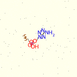 CSSCCOP(=O)(O)COCCn1cnc2c(N)ncnc21